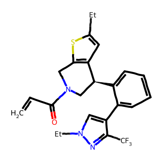 C=CC(=O)N1Cc2sc(CC)cc2[C@@H](c2ccccc2-c2cn(CC)nc2C(F)(F)F)C1